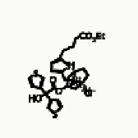 CCOC(=O)CCCc1ccc(C[N+]2(C)[C@@H]3CC[C@H]2CC(OC(=O)C(O)(c2ccsc2)c2ccsc2)C3)s1.[Cl-]